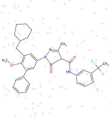 COc1c(CC2CCCCC2)cc(N2N=C(C)C(C(=O)Nc3cccc(C(C)(F)F)c3)C2=O)cc1-c1ccccc1